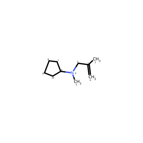 C=C(C)CN(C)C1CCCC1